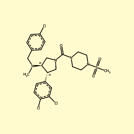 CN(Cc1ccc(Cl)cc1)[C@H]1CN(C(=O)N2CCN(S(C)(=O)=O)CC2)C[C@@H]1c1ccc(Cl)c(Cl)c1